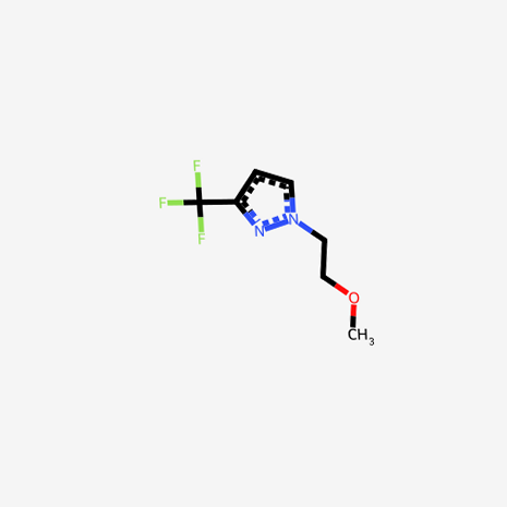 COCCn1ccc(C(F)(F)F)n1